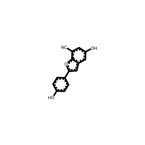 N#Cc1cc(O)cc2cc(-c3ccc(O)cc3)oc12